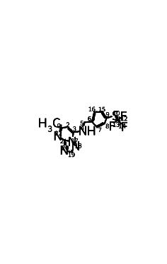 Cc1cc(NCc2ccc(SC(F)(F)F)cc2)n2ncnc2n1